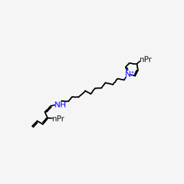 C=C/C=C(\C=C/NCCCCCCCCCCCC[N+]1=CCC(CCC)C=C1)CCC